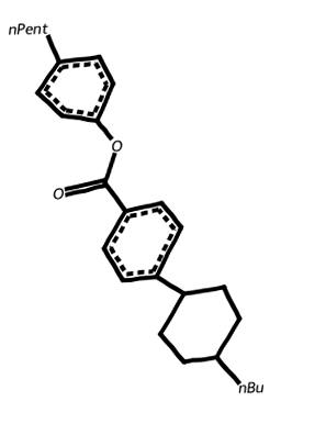 CCCCCc1ccc(OC(=O)c2ccc(C3CCC(CCCC)CC3)cc2)cc1